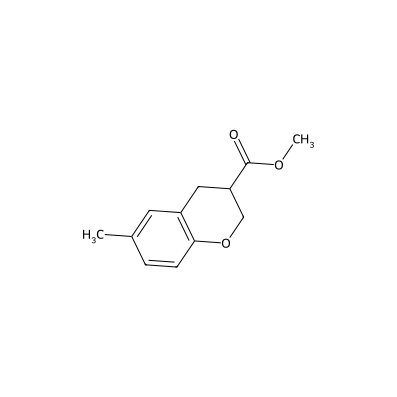 COC(=O)C1COc2ccc(C)cc2C1